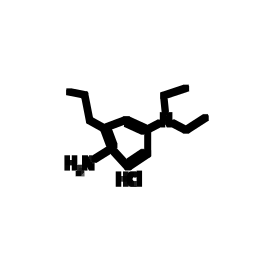 CCCc1cc(N(CC)CC)ccc1N.Cl